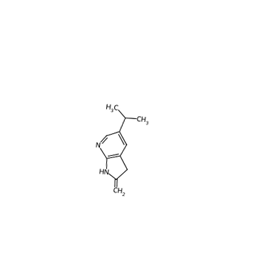 C=C1Cc2cc(C(C)C)cnc2N1